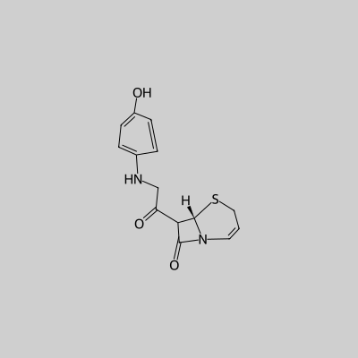 O=C(CNc1ccc(O)cc1)C1C(=O)N2C=CCS[C@@H]12